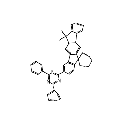 CC1(C)c2ccccc2C2C=C3C(=CC21)c1cc(-c2nc(-c4ccccc4)nc(-c4ccccc4)n2)ccc1C31CCCCC1